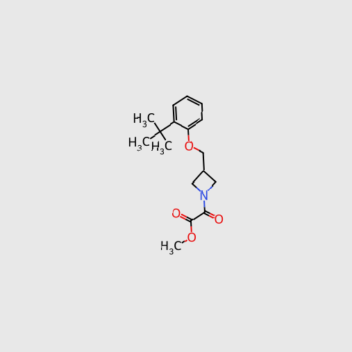 COC(=O)C(=O)N1CC(COc2ccccc2C(C)(C)C)C1